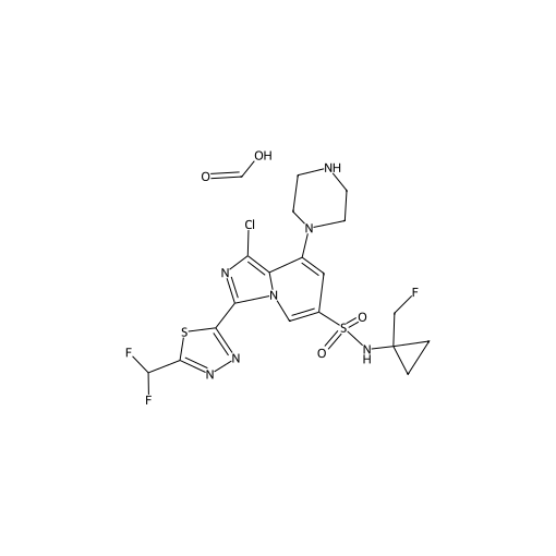 O=CO.O=S(=O)(NC1(CF)CC1)c1cc(N2CCNCC2)c2c(Cl)nc(-c3nnc(C(F)F)s3)n2c1